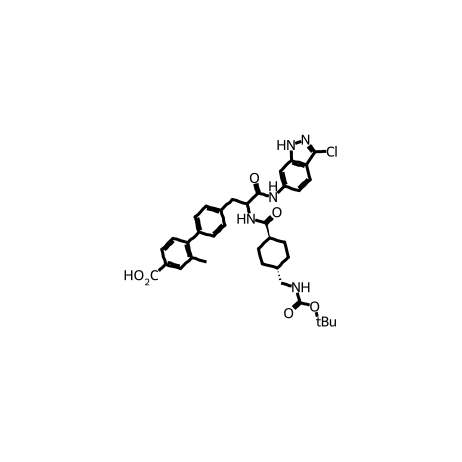 Cc1cc(C(=O)O)ccc1-c1ccc(CC(NC(=O)[C@H]2CC[C@H](CNC(=O)OC(C)(C)C)CC2)C(=O)Nc2ccc3c(Cl)n[nH]c3c2)cc1